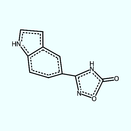 O=c1[nH]c(-c2ccc3[nH]ccc3c2)no1